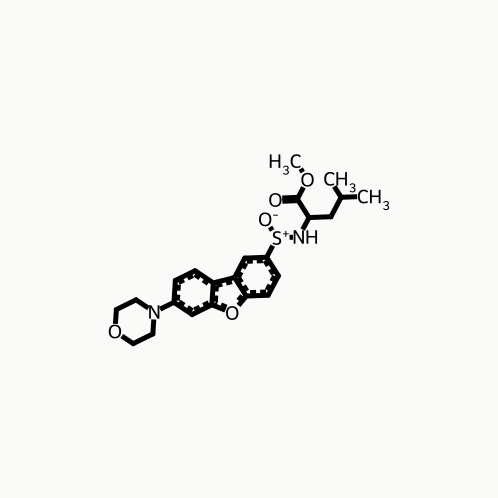 COC(=O)C(CC(C)C)N[S+]([O-])c1ccc2oc3cc(N4CCOCC4)ccc3c2c1